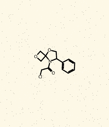 O=C(CCl)N1C(c2ccccc2)COC12COC2